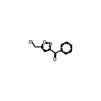 O=C(c1ccccc1)c1cc(CCl)on1